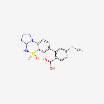 COc1ccc(C(=O)O)c(-c2ccc3c(c2)S(=O)(=O)NC2CCCN32)c1